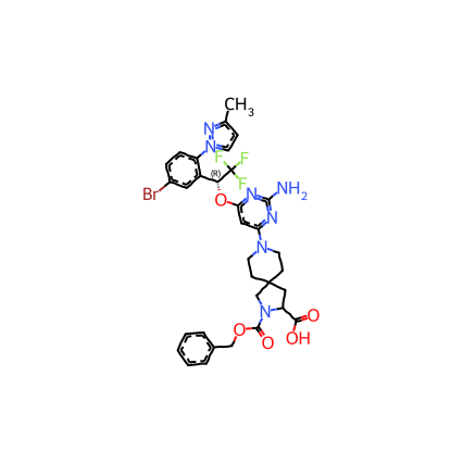 Cc1ccn(-c2ccc(Br)cc2[C@@H](Oc2cc(N3CCC4(CC3)CC(C(=O)O)N(C(=O)OCc3ccccc3)C4)nc(N)n2)C(F)(F)F)n1